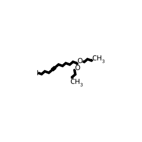 CCCCOC(CCCCCC#CCCCI)OCCCC